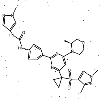 Cc1nn(C)cc1S(=O)(=O)C1(c2cc(N3CCOC[C@@H]3C)nc(-c3ccc(NC(=O)Nc4cnn(C)c4)cc3)n2)CC1